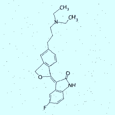 CCN(CC)CCCc1ccc2c(c1)COC2=C1C(=O)Nc2ccc(F)cc21